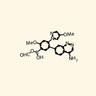 COc1cnn(-c2cc(OC)c(B(O)OC=O)cc2-c2ccc3c(N)cnnc3c2)c1